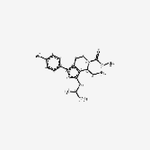 CC(Oc1nn(-c2ccc(C(C)C)cc2)c2c1C(CN)N(C(=O)OC(C)(C)C)CC2)C(=O)O